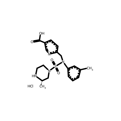 Cc1cccc(N(Cc2ccc(C(=O)O)cn2)S(=O)(=O)N2CCN[C@@H](C)C2)c1.Cl